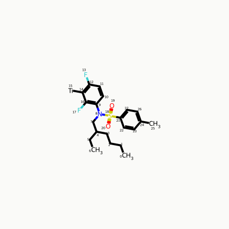 CCCCC(CC)CN(c1ccc(F)[c]([Ti])c1F)S(=O)(=O)c1ccc(C)cc1